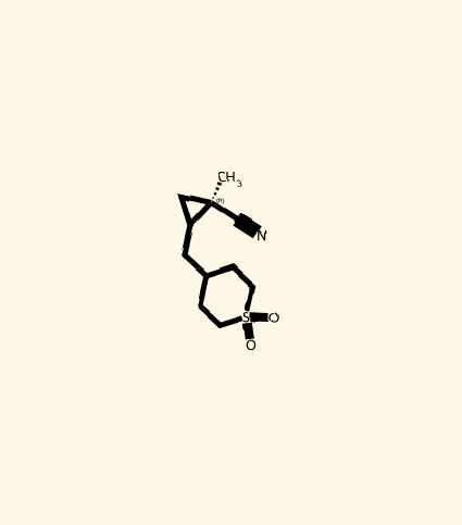 C[C@@]1(C#N)CC1CC1CCS(=O)(=O)CC1